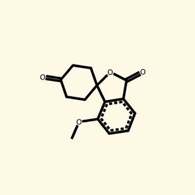 COc1cccc2c1C1(CCC(=O)CC1)OC2=O